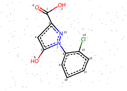 O=C(O)c1cc(O)n(-c2ccccc2Cl)n1